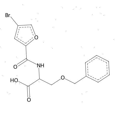 O=C(NC(COCc1ccccc1)C(=O)O)c1cc(Br)co1